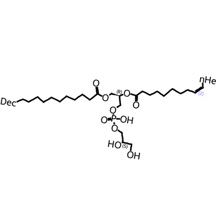 CCCCCCC/C=C\CCCCCCCC(=O)O[C@H](COC(=O)CCCCCCCCCCCCCCCCCCCC)COP(=O)(O)OC[C@@H](O)CO